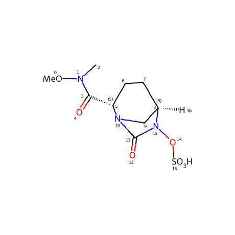 CON(C)C(=O)[C@@H]1CC[C@@H]2CN1C(=O)N2OS(=O)(=O)O